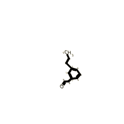 CCCc1cccc(CC=O)c1